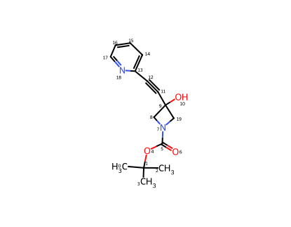 CC(C)(C)OC(=O)N1CC(O)(C#Cc2ccccn2)C1